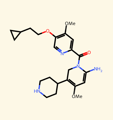 COC1=C(C2CCNCC2)CN(C(=O)c2cc(OC)c(OCCC3CC3)cn2)C(N)=C1